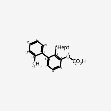 CCCCCCCc1c(OC(=O)O)cccc1-c1ccccc1C